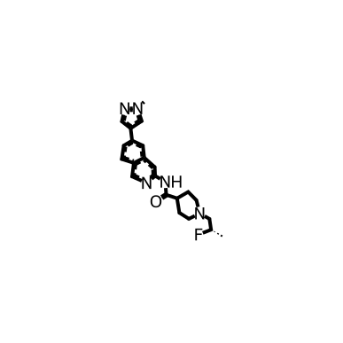 C[C@H](F)CN1CCC(C(=O)Nc2cc3cc(-c4cnn(C)c4)ccc3cn2)CC1